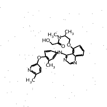 Cc1ccc(Oc2ccc(Nc3ncnc4cccc(OC[C@H](C)N(C)C(=O)CO)c34)cc2C)cn1